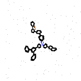 c1ccc(-c2cc(-c3ccccc3)cc(-c3ccc(N(c4ccc(-c5cccc(-c6cccc7c6sc6ccccc67)c5)cc4)c4ccc(-c5ccc6ccccc6c5)cc4)cc3)c2)cc1